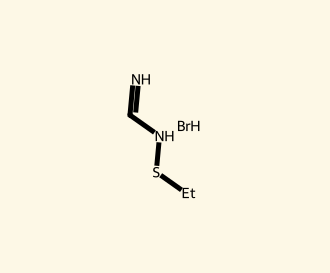 Br.CCSNC=N